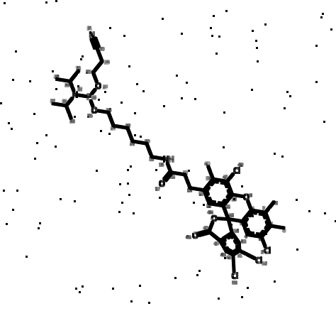 Cc1c(Cl)cc2c(c1C)Oc1c(cc(CCC(=O)NCCCCCCOP(OCCC#N)N(C(C)C)C(C)C)c(C)c1Cl)C21OC(=O)c2cc(Cl)c(Cl)cc21